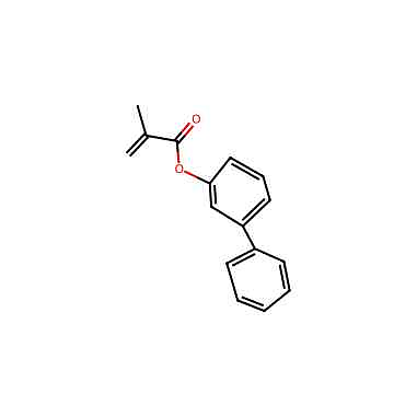 C=C(C)C(=O)Oc1cccc(-c2ccccc2)c1